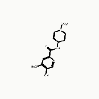 COc1cc(C(=O)NC2CCN(C(=O)O)CC2)ncc1C#N